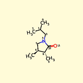 CC(C)CN1C[C@H](C)[C@@H](C)C1=O